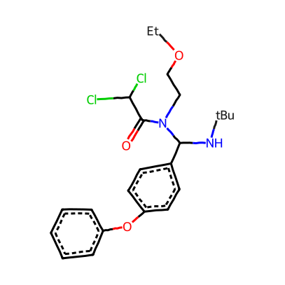 CCOCCN(C(=O)C(Cl)Cl)C(NC(C)(C)C)c1ccc(Oc2ccccc2)cc1